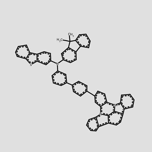 CC1(C)c2ccccc2-c2ccc(N(c3cccc(-c4ccc(-c5ccc6c(c5)n5c7ccccc7c7ccc8c9ccccc9n6c8c75)cc4)c3)c3ccc4c(c3)sc3ccccc34)cc21